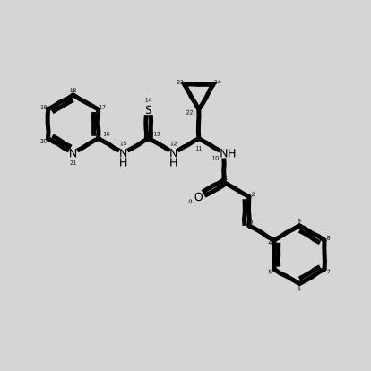 O=C(/C=C/c1ccccc1)NC(NC(=S)Nc1ccccn1)C1CC1